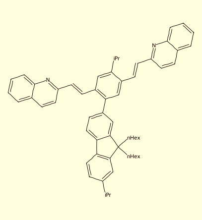 CCCCCCC1(CCCCCC)c2cc(-c3cc(/C=C/c4ccc5ccccc5n4)c(C(C)C)cc3/C=C/c3ccc4ccccc4n3)ccc2-c2ccc(C(C)C)cc21